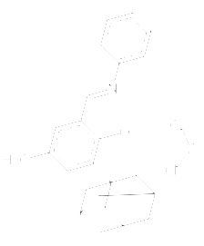 Cc1cc(C=Nc2ccccc2)c(O)c(C23CC4CC(CC(C4)C2)C3)c1.[Cl][Zr][Cl]